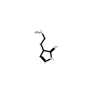 CCCCCCCC1C=COC1=O